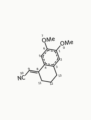 COc1cc2c(cc1OC)C(=CC#N)CCC2